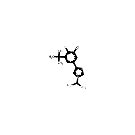 CC(C)n1cnc(-c2cc(Cl)c(F)c(C(C)(C)C)c2)c1